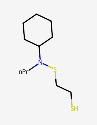 CCCN(SCCS)C1CCCCC1